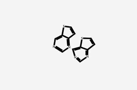 c1ncc2sccc2n1.c1ncc2sccc2n1